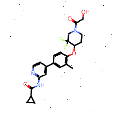 Cc1cc(-c2ccnc(NC(=O)C3CC3)c2)ccc1OC1CCN(C(=O)CO)CC1(F)F